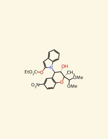 CCOC(=O)Oc1cc2ccccc2n1[C@@H]1c2cc([N+](=O)[O-])ccc2O[C@](C)(C(OC)OC)[C@H]1O